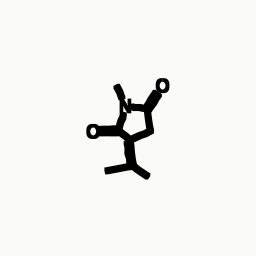 CC(C)=C1CC(=O)N(C)C1=O